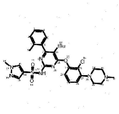 Cc1ccccc1-c1nc(NS(=O)(=O)c2cnn(C)c2)nc(Oc2cccc(N3CCN(C)CC3)c2Cl)c1C(C)(C)C